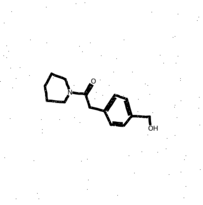 O=C(Cc1ccc(CO)cc1)N1CCCCC1